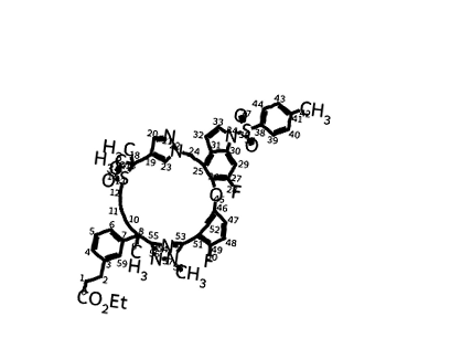 CCOC(=O)CCc1cccc(C2(C)CCCS(=O)(=O)C(C)(C)c3cnn(c3)Cc3c(c(F)cc4c3ccn4S(=O)(=O)c3ccc(C)cc3)Oc3ccc(F)c(c3)-c3nc2nn3C)c1